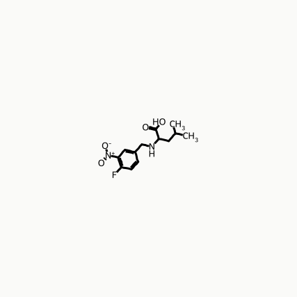 CC(C)CC(NCc1ccc(F)c([N+](=O)[O-])c1)C(=O)O